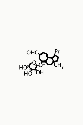 CC(C)C1=C2C3=CC=C(C=O)C[C@H](O[C@@H]4OC[C@@H](O)[C@H](O)[C@H]4O)[C@]3(F)CC[C@@]2(C)CC1